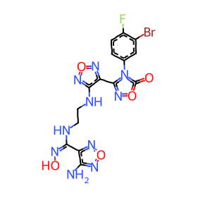 Nc1nonc1/C(=N\O)NCCNc1nonc1-c1noc(=O)n1-c1ccc(F)c(Br)c1